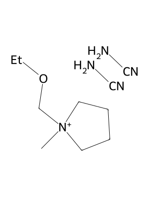 CCOC[N+]1(C)CCCC1.N#CN.N#CN